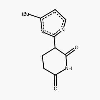 CC(C)(C)c1ccnc(C2CCC(=O)NC2=O)n1